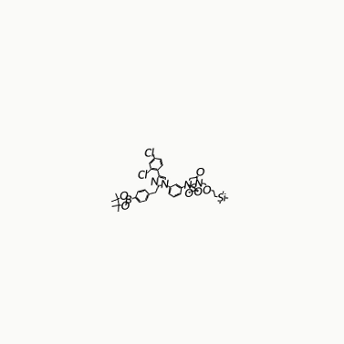 CC1(C)OB(c2ccc(Cc3nc(-c4ccc(Cl)cc4Cl)cn3-c3cccc(N4CC(=O)N(COCC[Si](C)(C)C)S4(=O)=O)c3)cc2)OC1(C)C